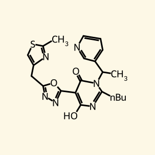 CCCCc1nc(O)c(-c2nnc(Cc3csc(C)n3)o2)c(=O)n1C(C)c1cccnc1